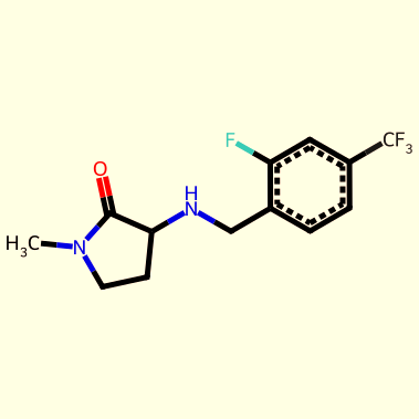 CN1CCC(NCc2ccc(C(F)(F)F)cc2F)C1=O